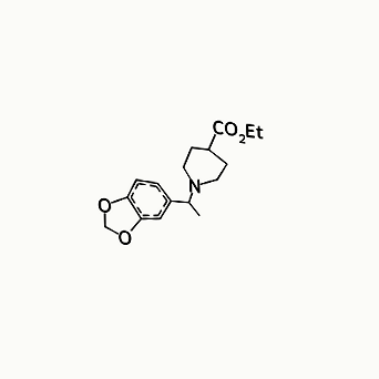 CCOC(=O)C1CCN(C(C)c2ccc3c(c2)OCO3)CC1